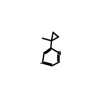 CC1(c2c[c]ccn2)CC1